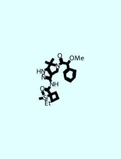 CC[Si](C)(C)C1(C(=O)Nc2n[nH]c3c2CN(C(=O)C(OC)c2ccccc2)C3(C)C)CCC1